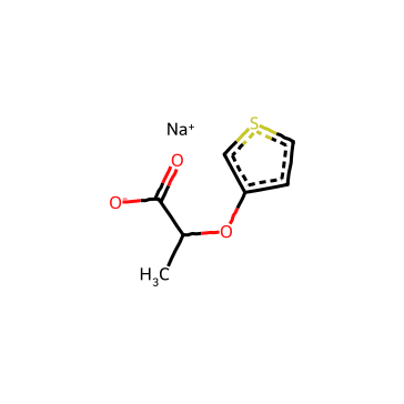 CC(Oc1ccsc1)C(=O)[O-].[Na+]